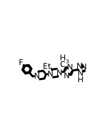 CC[C@H]1CN(c2ncc(-c3nnc[nH]3)nc2C)CCN1C1CCN(Cc2ccc(F)cc2)CC1